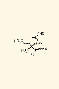 CCCCCC[C@](CCC(=O)O)(C(=O)O)N(CC)CCCCC.CN(C)C=O